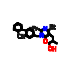 CCCc1nc(CC)c(CC(C)CO)c(=O)n1Cc1ccc(-c2ccccc2C#N)cc1